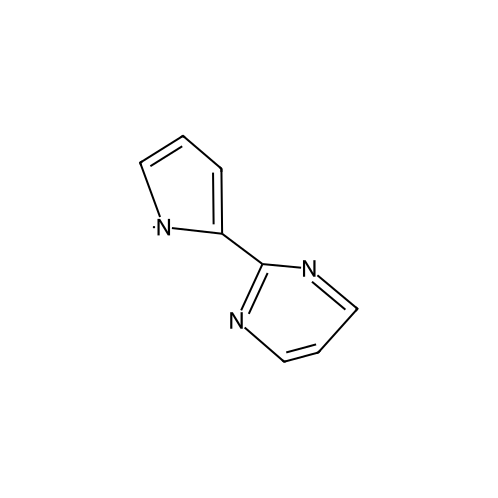 C1=C[N]C(c2ncccn2)=C1